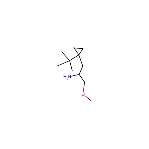 COCC(N)CC1(C(C)(C)C)CC1